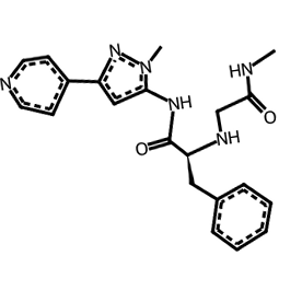 CNC(=O)CN[C@@H](Cc1ccccc1)C(=O)Nc1cc(-c2ccncc2)nn1C